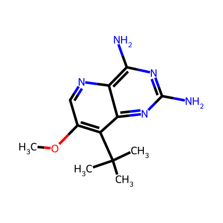 COc1cnc2c(N)nc(N)nc2c1C(C)(C)C